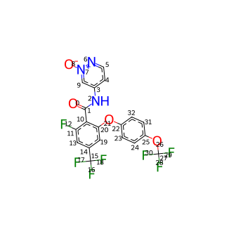 O=C(Nc1ccn[n+]([O-])c1)c1c(F)cc(C(F)(F)F)cc1Oc1ccc(OC(F)(F)F)cc1